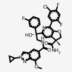 COc1cc(C(=O)NC[C@@](O)(c2cccc(F)c2)c2cc3c(c(-c4cc(Cl)c(F)cc4F)n2)OC[C@]3(C)C(N)=O)cc2cn(C3CC3)nc12